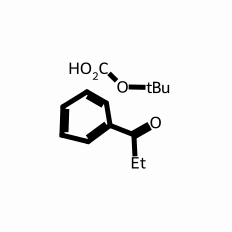 CC(C)(C)OC(=O)O.CCC(=O)c1ccccc1